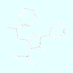 CC(Oc1cc(-c2ccccc2)n(C)c1C(N)=O)c1ccccc1